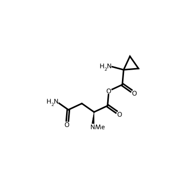 CN[C@@H](CC(N)=O)C(=O)OC(=O)C1(N)CC1